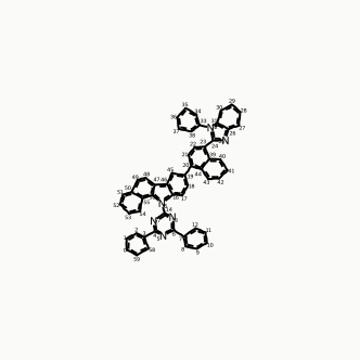 c1ccc(-c2nc(-c3ccccc3)nc(-n3c4ccc(-c5ccc(-c6nc7ccccc7n6-c6ccccc6)c6ccccc56)cc4c4ccc5ccccc5c43)n2)cc1